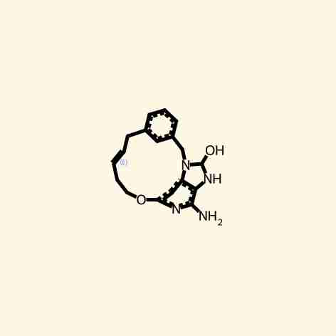 Nc1nc2cc3c1NC(O)N3Cc1cccc(c1)C/C=C/CCO2